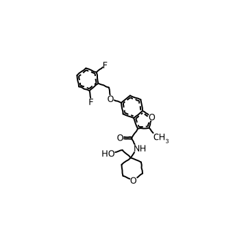 Cc1oc2ccc(OCc3c(F)cccc3F)cc2c1C(=O)NC1(CO)CCOCC1